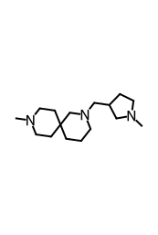 CN1CCC2(CCCN(CC3CCN(C)C3)C2)CC1